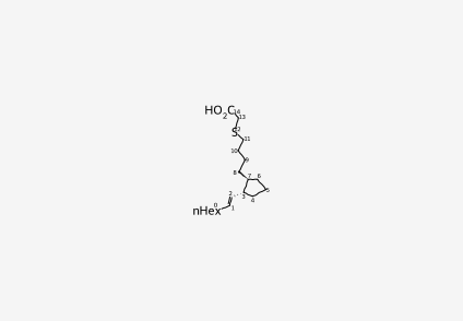 CCCCCCC=C[C@H]1CCC[C@@H]1CCCCSCC(=O)O